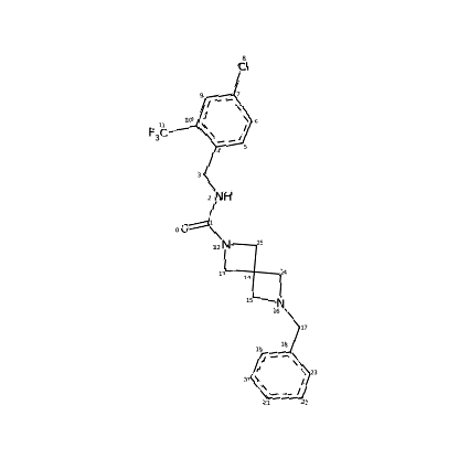 O=C(NCc1ccc(Cl)cc1C(F)(F)F)N1CC2(CN(Cc3ccccc3)C2)C1